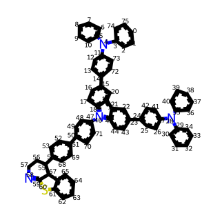 c1ccc(N(c2ccccc2)c2ccc(-c3ccc4c(c3)c3cc(-c5ccc(N(c6ccccc6)c6ccccc6)cc5)ccc3n4-c3ccc(-c4ccc(C5CCN=C6Sc7ccccc7C65)cc4)cc3)cc2)cc1